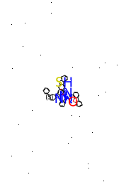 C[C@@]1(c2ccccc2)C=Cc2c(c3ccccc3n2-c2ccccc2C2=NC(c3cccc4c3oc3ccccc34)NC(c3ccc4sc5ccccc5c4c3)=N2)C1